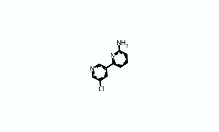 Nc1cccc(-c2cncc(Cl)c2)n1